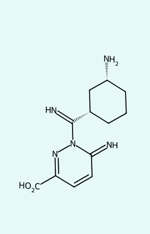 N=C([C@H]1CCC[C@@H](N)C1)n1nc(C(=O)O)ccc1=N